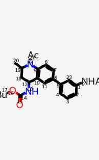 CC(=O)Nc1cccc(-c2ccc3c(c2)C(NC(=O)OC(C)(C)C)CC(C)N3C(C)=O)c1